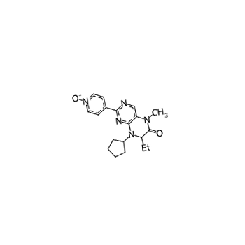 CCC1C(=O)N(C)c2cnc(-c3cc[n+]([O-])cc3)nc2N1C1CCCC1